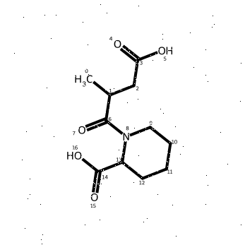 CC(CC(=O)O)C(=O)N1CCCCC1C(=O)O